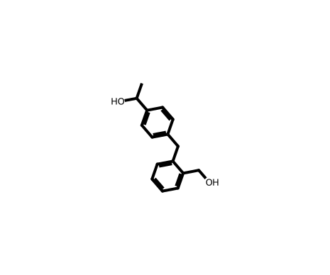 CC(O)c1ccc(Cc2ccccc2CO)cc1